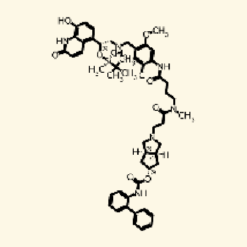 COc1cc(NC(=O)CCCN(C)C(=O)CCN2C[C@H]3C[C@H](OC(=O)Nc4ccccc4-c4ccccc4)C[C@H]3C2)c(Cl)cc1CNC[C@H](O[Si](C)(C)C(C)(C)C)c1ccc(O)c2[nH]c(=O)ccc12